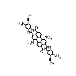 CC(C)C#Cc1cc2c(cc1N)nc1c3cc([N+](=O)[O-])c4c5ccc6c(=O)n7c8cc(C#CC(C)C)c(N)cc8nc7c7cc([N+](=O)[O-])c(c8ccc(c(=O)n21)c3c84)c5c67